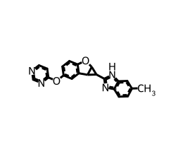 Cc1ccc2nc(C3C4Oc5ccc(Oc6ccncn6)cc5C43)[nH]c2c1